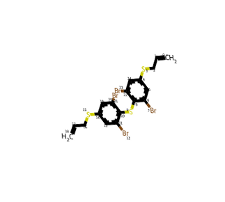 C=CCSc1cc(Br)c(Sc2c(Br)cc(SCC=C)cc2Br)c(Br)c1